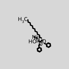 CCCCCCCCCCCCCC[C@H](OCc1ccccc1)[C@@H](OCc1ccccc1)[C@H](CO)N=[N+]=[N-]